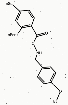 CCCCCc1cc(CCCC)ccc1C(=O)ONCc1ccc(OCC)cc1